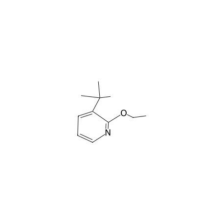 CCOc1ncccc1C(C)(C)C